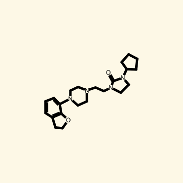 O=C1N(CCN2CCN(c3cccc4c3OCC4)CC2)CCN1C1CCCC1